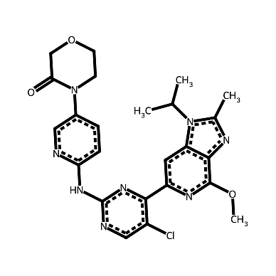 COc1nc(-c2nc(Nc3ccc(N4CCOCC4=O)cn3)ncc2Cl)cc2c1nc(C)n2C(C)C